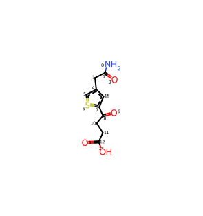 NC(=O)Cc1csc(C(=O)CCC(=O)O)c1